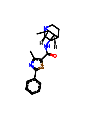 Cc1nc(-c2ccccc2)sc1C(=O)N[C@@H]1C2CCN(CC2)[C@H]1C